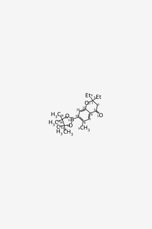 CCC1(CC)CC(=O)c2cc(C)c(B3OC(C)(C)C(C)(C)O3)cc2O1